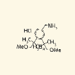 COCC(C)(C)c1ccc(CN)cc1C(C)(C)COC.Cl